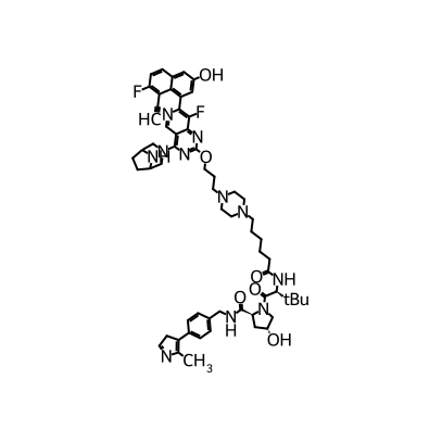 C#Cc1c(F)ccc2cc(O)cc(-c3ncc4c(N5CC6CCC(C5)N6)nc(OCCCN5CCN(CCCCCC(=O)N[C@H](C(=O)N6C[C@H](O)C[C@H]6C(=O)NCc6ccc(C7=C(C)N=CC7)cc6)C(C)(C)C)CC5)nc4c3F)c12